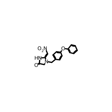 O=C1CN(Cc2ccc(Oc3ccccc3)cc2)C(=C[N+](=O)[O-])N1